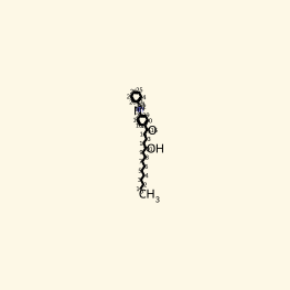 CCCCCCCCCCC(O)CCCC(=O)c1ccc(/N=N/c2ccccc2)cc1